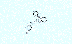 CN(C(=O)[C@H](Cc1cc(F)cc(F)c1)N1C(=O)c2ccccc2C1=O)c1ccc(C(F)F)nc1